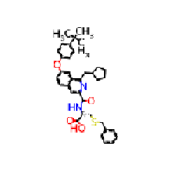 CC(C)(C)c1ccc(Oc2ccc3cc(C(=O)N[C@H](CSCc4ccccc4)C(=O)O)nc(CC4CCCC4)c3c2)cc1